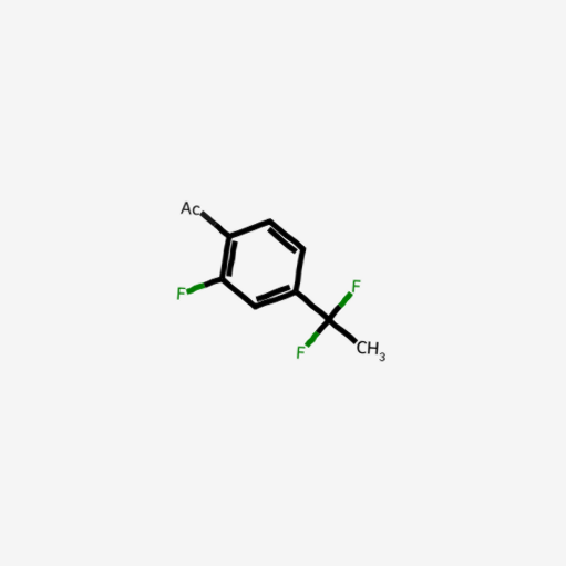 CC(=O)c1ccc(C(C)(F)F)cc1F